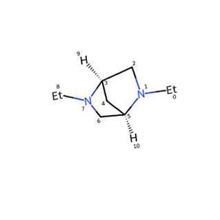 CCN1C[C@H]2C[C@@H]1CN2CC